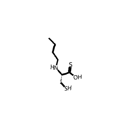 CCCCN[C@@H](CS)C(O)=S